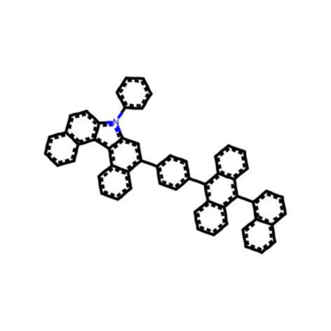 c1ccc(-n2c3ccc4ccccc4c3c3c4ccccc4c(-c4ccc(-c5c6ccccc6c(-c6cccc7ccccc67)c6ccccc56)cc4)cc32)cc1